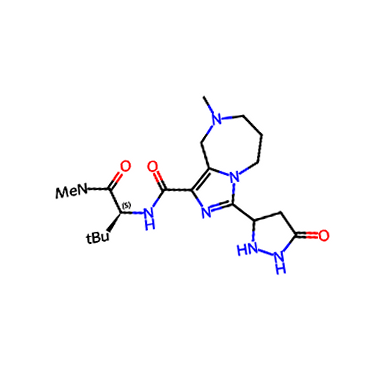 CNC(=O)[C@@H](NC(=O)c1nc(C2CC(=O)NN2)n2c1CN(C)CCC2)C(C)(C)C